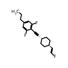 CCCc1cc(F)c(C#C[C@H]2CC[C@H](C=CF)CC2)c(F)c1